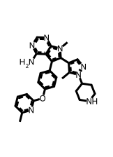 Cc1cccc(Oc2ccc(-c3c(-c4cnn(C5CCNCC5)c4C)n(C)c4ncnc(N)c34)cc2)n1